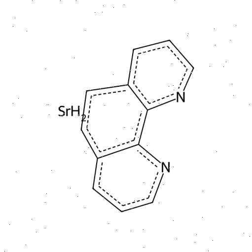 [SrH2].c1cnc2c(c1)ccc1cccnc12